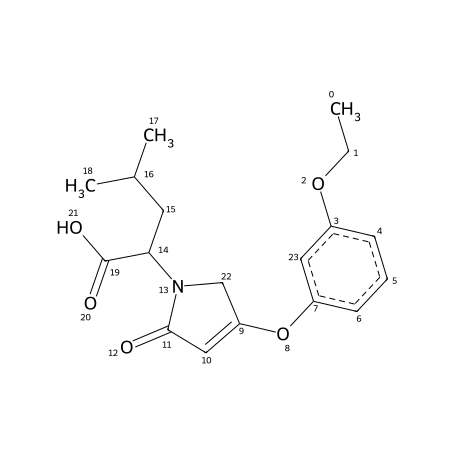 CCOc1cccc(OC2=CC(=O)N(C(CC(C)C)C(=O)O)C2)c1